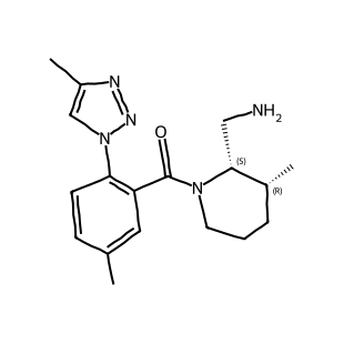 Cc1ccc(-n2cc(C)nn2)c(C(=O)N2CCC[C@@H](C)[C@H]2CN)c1